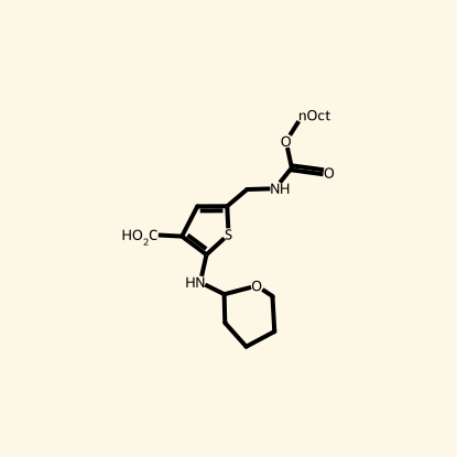 CCCCCCCCOC(=O)NCc1cc(C(=O)O)c(NC2CCCCO2)s1